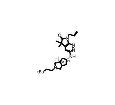 C=CCN1C(=O)C(C)(C)c2cc(N[C@@H]3CC4CN(CCC(C)(C)C)C[C@H]4C3)nnc21